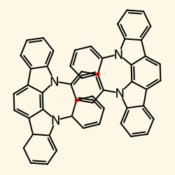 C1=CCC2C(=C1)N(C1C=CC=CC1)c1c2ccc2c3ccccc3n(-c3ccc(-n4c5ccccc5c5ccc6c7ccccc7n(-c7ccccc7)c6c54)cc3)c12